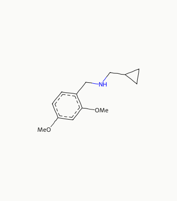 COc1ccc(CNCC2CC2)c(OC)c1